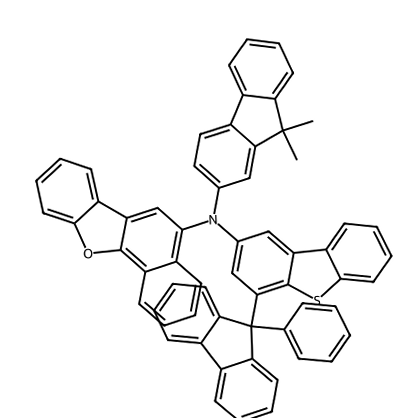 CC1(C)c2ccccc2-c2ccc(N(c3cc(C4(c5ccccc5)c5ccccc5-c5ccccc54)c4sc5ccccc5c4c3)c3cc4c5ccccc5oc4c4ccccc34)cc21